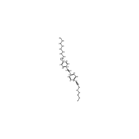 CCCCCCC#Cc1ccc(C#Cc2ccc(OCCCCCCCC)cc2)cc1